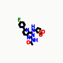 CC(=O)Nc1nc(NC2CCS(=O)(=O)C2)c2nc(-c3ccc(F)cc3)ccc2n1